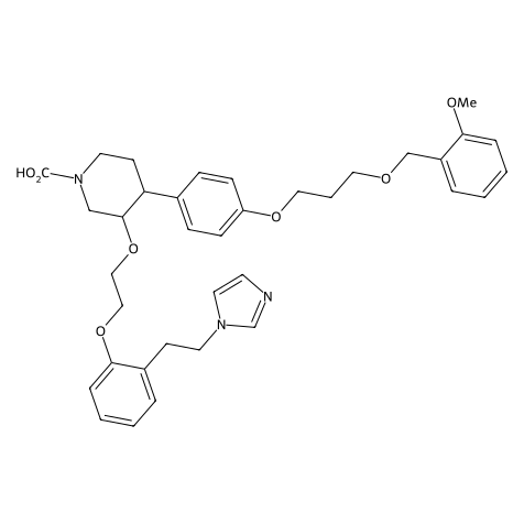 COc1ccccc1COCCCOc1ccc(C2CCN(C(=O)O)CC2OCCOc2ccccc2CCn2ccnc2)cc1